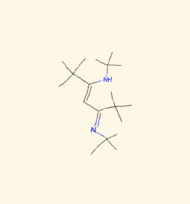 CC(C)(C)N=C(C=C(NC(C)(C)C)C(C)(C)C)C(C)(C)C